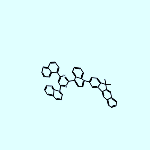 CC1(C)c2ccc(-c3ccc(-c4nc(-c5cccc6ccccc56)cc(-c5cccc6ccccc56)n4)c4ccccc34)cc2-c2cc3ccccc3cc21